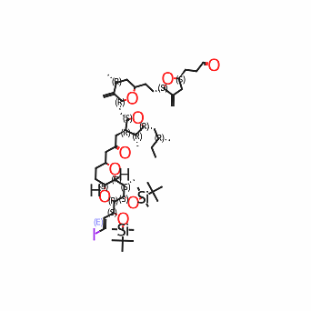 C=C1C[C@H](CCC=O)O[C@H]1CCC1C[C@@H](C)C(=C)[C@@H](C[C@@H]2O[C@H](C[C@H](C)CC)[C@H](C)[C@H]2CC(=O)CC2CC[C@@H]3O[C@@H]([C@H](/C=C/I)O[Si](C)(C)C(C)(C)C)[C@@H](O[Si](C)(C)C(C)(C)C)[C@@H](C)[C@H]3O2)O1